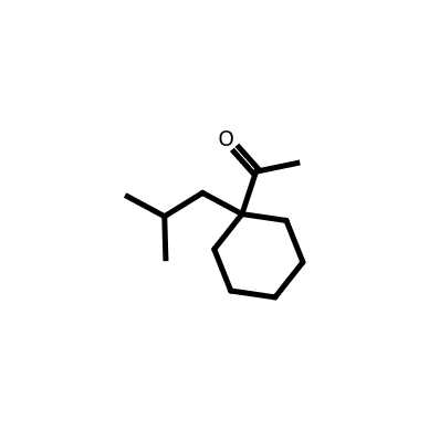 CC(=O)C1(CC(C)C)CCCCC1